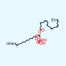 CC/C=C\C/C=C\C/C=C\C/C=C\C/C=C\C/C=C\CCC(=O)OC[C@H](COP(=O)(O)O)OC(=O)CCCCCCCCC/C=C\CCCCCC